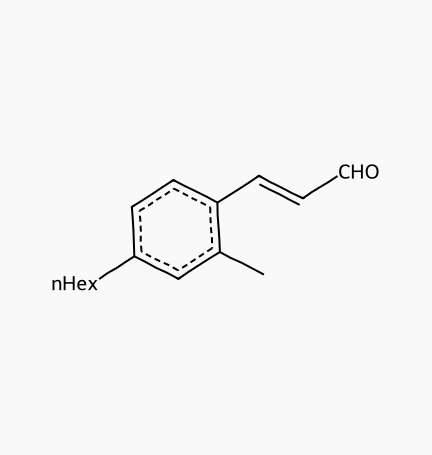 CCCCCCc1ccc(C=CC=O)c(C)c1